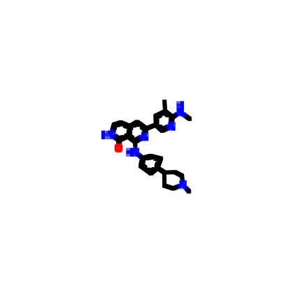 CNc1ncc(-c2cc3cc[nH]c(=O)c3c(Nc3ccc(C4CCN(C)CC4)cc3)n2)cc1C